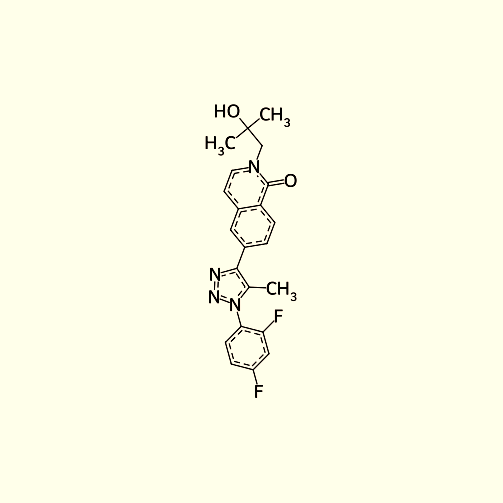 Cc1c(-c2ccc3c(=O)n(CC(C)(C)O)ccc3c2)nnn1-c1ccc(F)cc1F